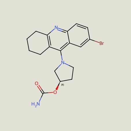 NC(=O)O[C@@H]1CCN(c2c3c(nc4ccc(Br)cc24)CCCC3)C1